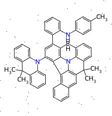 Cc1ccc(Nc2ccccc2-c2cc(N3c4ccccc4C(C)(C)c4ccccc43)c3c4c5ccccc5cc5c4n4c3c2Bc2cccc(c2-4)C5(C)C)cc1